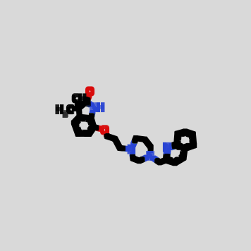 CC1(C)C(=O)Nc2c(OCCCN3CCCN(Cc4ccc5ccccc5n4)CC3)cccc21